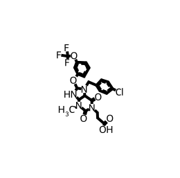 CN1C(=O)N(CCC(=O)O)C(=O)C2C1NC(Oc1cccc(OC(F)(F)F)c1)N2Cc1ccc(Cl)cc1